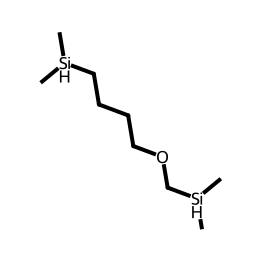 C[SiH](C)CCCCOC[SiH](C)C